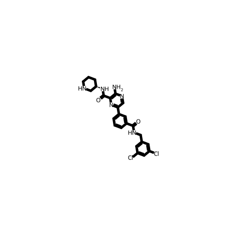 Nc1ncc(-c2cccc(C(=O)NCc3cc(Cl)cc(Cl)c3)c2)nc1C(=O)N[C@H]1CCCNC1